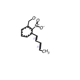 C/C=C/C=C/c1cccc(C[O])c1[N+](=O)[O-]